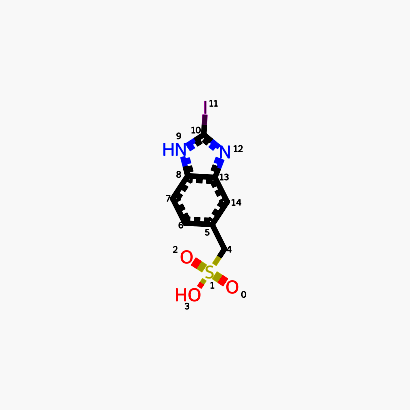 O=S(=O)(O)Cc1ccc2[nH]c(I)nc2c1